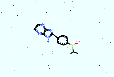 CC(C)[S+]([O-])c1ccc(-c2nc3nccnc3[nH]2)cc1